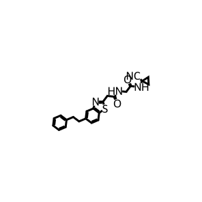 N#CC1(NC(=O)CNC(=O)Cc2nc3cc(CCc4ccccc4)ccc3s2)CC1